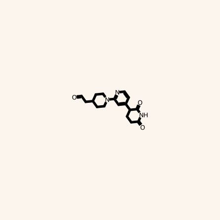 O=CCC1CCN(c2cc(C3CCC(=O)NC3=O)ccn2)CC1